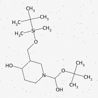 CC(C)(C)OC(O)N1CCC(O)C(CO[Si](C)(C)C(C)(C)C)C1